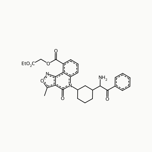 CCOC(=O)COC(=O)c1cccc2c1c1noc(C)c1c(=O)n2C1CCCC(C(N)C(=O)c2ccccc2)C1